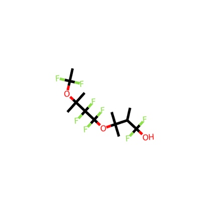 CC(C(O)(F)F)C(C)(C)OC(F)(F)C(F)(F)C(C)(C)OC(C)(F)F